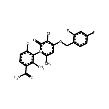 Cc1c(C(N)=O)ccc(Cl)c1-n1c(C)cc(OCc2ccc(F)cc2F)c(Cl)c1=O